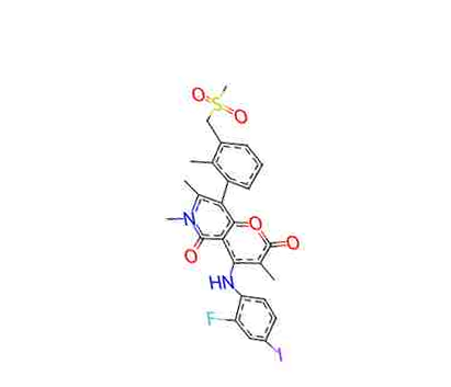 Cc1c(CS(C)(=O)=O)cccc1-c1c(C)n(C)c(=O)c2c(Nc3ccc(I)cc3F)c(C)c(=O)oc12